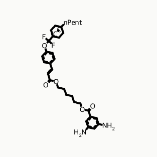 CCCCCC12CCC(C(F)(F)Oc3ccc(C=CC(=O)OCCCCCCOC(=O)c4cc(N)cc(N)c4)cc3)(CC1)CC2